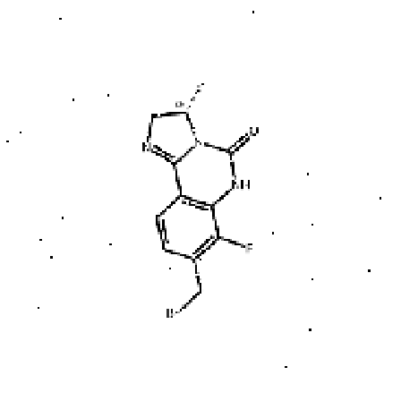 C[C@H]1CN=C2c3ccc(CBr)c(F)c3NC(=O)N21